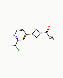 CC(=O)N1CC(c2ccnc(C(F)F)c2)C1